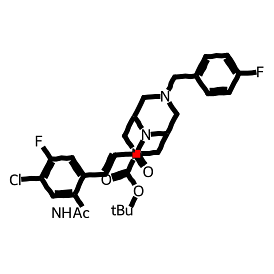 CC(=O)Nc1cc(Cl)c(F)cc1C=CC(=O)N1C2CN(Cc3ccc(F)cc3)CC1CN(C(=O)OC(C)(C)C)C2